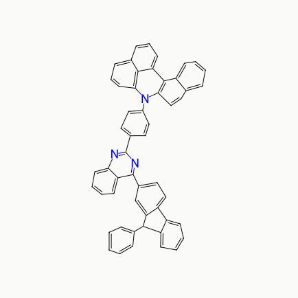 c1ccc(C2c3ccccc3-c3ccc(-c4nc(-c5ccc(N6c7ccc8ccccc8c7-c7cccc8cccc6c78)cc5)nc5ccccc45)cc32)cc1